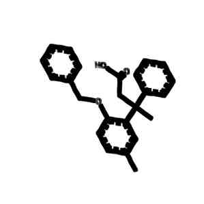 Cc1ccc(OCc2ccccc2)c(C(C)(CC(=O)O)c2ccccc2)c1